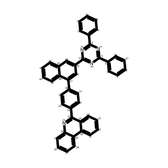 c1ccc(-c2nc(-c3ccccc3)nc(-c3cc(-c4ccc(-c5nc6ccccc6c6ccccc56)cc4)c4ccccc4c3)n2)cc1